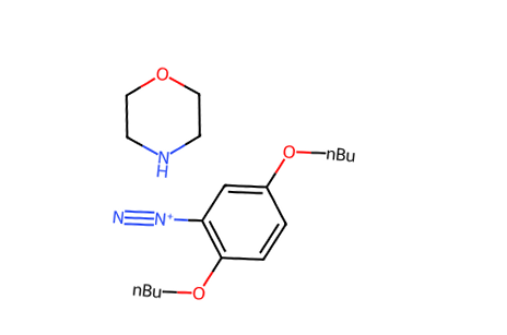 C1COCCN1.CCCCOc1ccc(OCCCC)c([N+]#N)c1